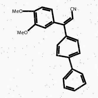 COc1ccc(/C(=C\C#N)c2ccc(-c3ccccc3)cc2)cc1OC